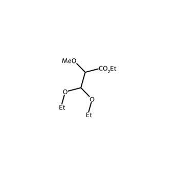 CCOC(=O)C(OC)C(OCC)OCC